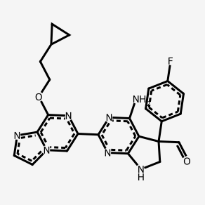 Nc1nc(-c2cn3ccnc3c(OCCC3CC3)n2)nc2c1C(C=O)(c1ccc(F)cc1)CN2